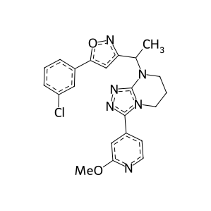 COc1cc(-c2nnc3n2CCCN3C(C)c2cc(-c3cccc(Cl)c3)on2)ccn1